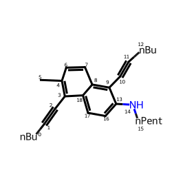 CCCCC#Cc1c(C)ccc2c(C#CCCCC)c(NCCCCC)ccc12